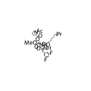 COC(=O)[C@H](COC(=O)C1CCCN1C(C)=O)NC(=O)[C@H](Cc1cc(F)cc(F)c1)NC(=O)OCCCCCC(C)C